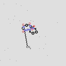 CCCCCCCCCCCCCCC(=O)N[C@@H]1CCCN(C(=O)c2ccc(C(=O)N3C[C@@H](C(=O)N[C@H]4C[C@@H]4c4ccccc4)[C@H](C(=O)N[C@H]4C[C@@H]4c4ccccc4)C3)cc2)C1